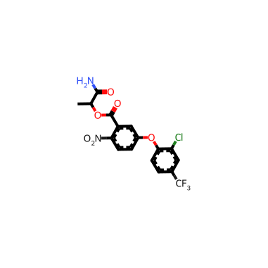 CC(OC(=O)c1cc(Oc2ccc(C(F)(F)F)cc2Cl)ccc1[N+](=O)[O-])C(N)=O